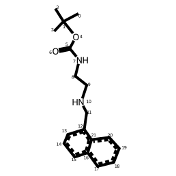 CC(C)(C)OC(=O)NCCNCc1cccc2ccccc12